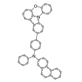 c1ccc(N(c2ccc(-c3ccc4c(c3)c3cccc5c3n4-c3ccccc3O5)cc2)c2ccc3c(ccc4ccccc43)c2)cc1